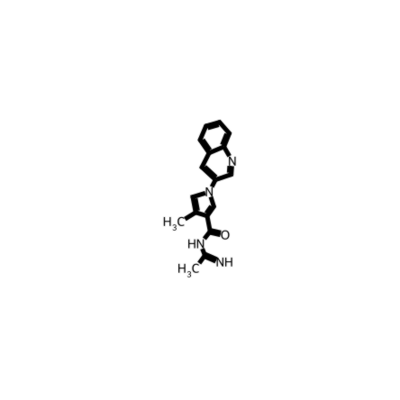 CC(=N)NC(=O)c1cn(-c2cnc3ccccc3c2)cc1C